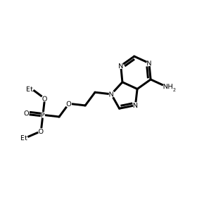 CCOP(=O)(COCCN1C=NC2C(N)=NC=NC21)OCC